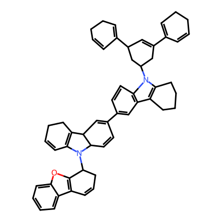 C1=CC(C2=CC(C3=CCCC=C3)CC(n3c4c(c5cc(C6=CC7C8=C(C=CCC8)N(C8CC=Cc9c8oc8ccccc98)C7C=C6)ccc53)CCCC4)C2)=CCC1